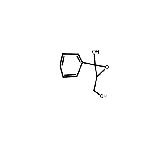 OCC1OC1(O)c1ccccc1